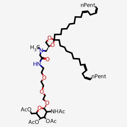 CCCCC/C=C\C/C=C\CCCCCCCCC1(CCCCCCCC/C=C\C/C=C\CCCCC)OC[C@H](CN(C)CC(=O)NCCOCCOCCO[C@@H]2OC(COC(C)=O)[C@H](OC(C)=O)C(OC(C)=O)C2NC(C)=O)O1